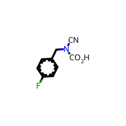 N#CN(Cc1ccc(F)cc1)C(=O)O